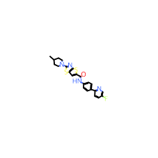 CC1CCN(c2nc3sc(C(=O)Nc4ccc(-c5ccc(F)cn5)cc4)cc3s2)CC1